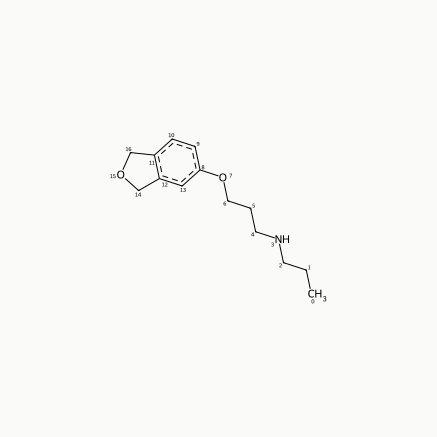 CCCNCCCOc1ccc2c(c1)COC2